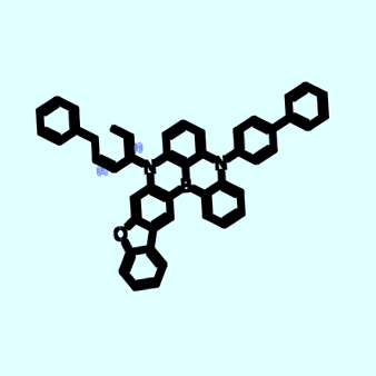 C/C=C(\C=C/Cc1ccccc1)N1c2cc3oc4ccccc4c3cc2B2c3ccccc3N(c3ccc(-c4ccccc4)cc3)c3cccc1c32